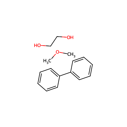 COC.OCCO.c1ccc(-c2ccccc2)cc1